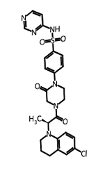 C[C@@H](C(=O)N1CCN(c2ccc(S(=O)(=O)Nc3ccncn3)cc2)C(=O)C1)N1CCCc2cc(Cl)ccc21